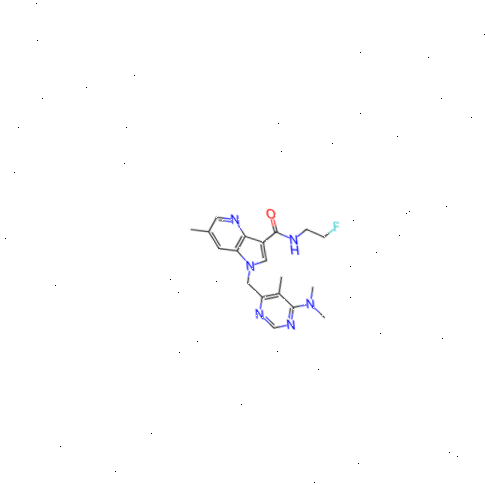 Cc1cnc2c(C(=O)NCCF)cn(Cc3ncnc(N(C)C)c3C)c2c1